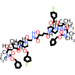 C[C@@H](C(=O)C[C@H](C(=O)N1CC[C@@H]2[C@H]1[C@@H](OCc1ccc(F)cc1)CN2C(=O)CNC(=O)C(=O)CCC(=O)N1C[C@H](OCc2ccc(F)cc2)[C@@H]2[C@H]1CCN2C(=O)[C@@H](NC(=O)[C@H](C)N(C)C(=O)OCc1ccccc1)C(C)(C)C)C(C)(C)C)N(C)C(=O)OCc1ccccc1